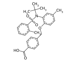 Cc1ccc(OCc2ccc(C(=O)O)cc2)c(N(C(C)(C)C)S(=O)(=O)c2ccccc2C)c1